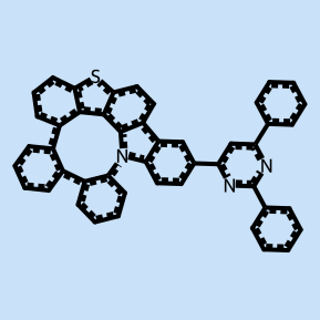 c1ccc(-c2cc(-c3ccc4c(c3)c3ccc5sc6cccc7c8ccccc8c8ccccc8n4c3c5c67)nc(-c3ccccc3)n2)cc1